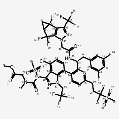 COC(=O)CN(C)C(=O)N(c1nn(CC(F)(F)F)c2c(-c3ccc(CCC(C)(C)S(C)(=O)=O)nc3[C@H](Cc3cc(F)cc(F)c3)NC(=O)Cn3nc(C(F)(F)F)c4c3C(F)(F)C3C[C@H]43)ccc(Cl)c12)S(C)(=O)=O